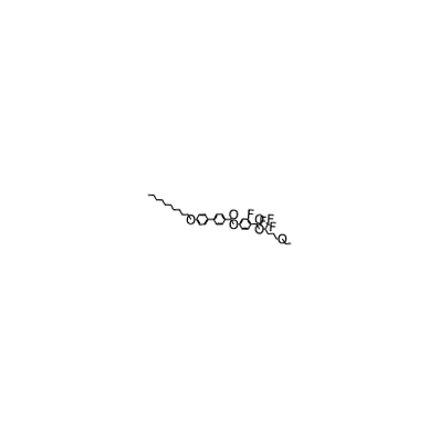 CCCCCCCCCCOc1ccc(-c2ccc(C(=O)Oc3ccc(C(=O)OC(CCCOCC)C(F)(F)F)c(F)c3)cc2)cc1